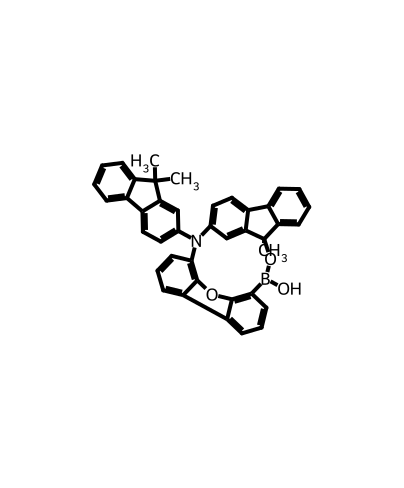 CC1(C)c2ccccc2-c2ccc(N3c4ccc5c(c4)C(C)(OB(O)c4cccc6c4oc4c3cccc46)c3ccccc3-5)cc21